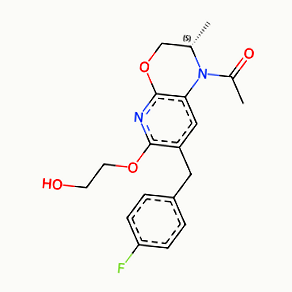 CC(=O)N1c2cc(Cc3ccc(F)cc3)c(OCCO)nc2OC[C@@H]1C